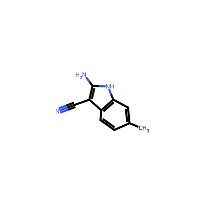 Cc1ccc2c(C#N)c(N)[nH]c2c1